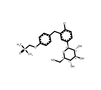 CP(C)(=O)COc1ccc(Cc2cc([C@@H]3O[C@H](CO)[C@@H](O)[C@H](O)[C@H]3O)ccc2Cl)cc1